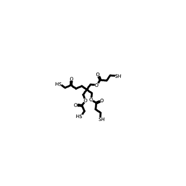 O=C(CS)CCC(COC(=O)CS)(COC(=O)CCS)COC(=O)CCS